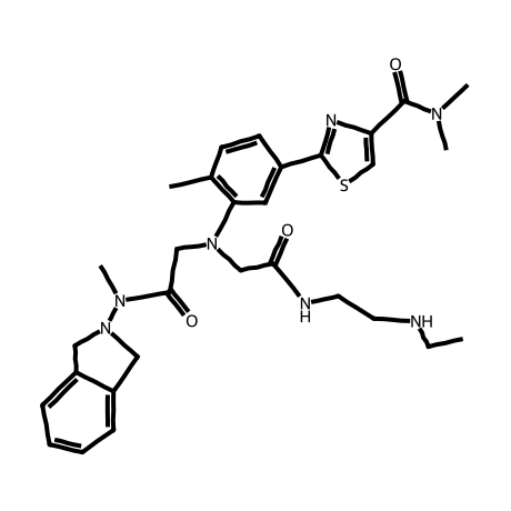 CCNCCNC(=O)CN(CC(=O)N(C)N1Cc2ccccc2C1)c1cc(-c2nc(C(=O)N(C)C)cs2)ccc1C